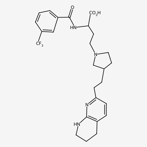 O=C(NC(CCN1CCC(CCc2ccc3c(n2)NCCC3)C1)C(=O)O)c1cccc(C(F)(F)F)c1